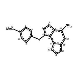 COc1ccc(Cn2[c]nc3c(N)nc4ccsc4c32)cc1